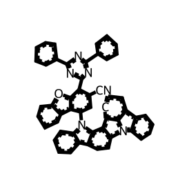 N#Cc1cc(-n2c3ccccc3c3ccc4c(c5cccc6c7ccccc7n4c65)c32)c2c(oc3ccccc32)c1-c1nc(-c2ccccc2)nc(-c2ccccc2)n1